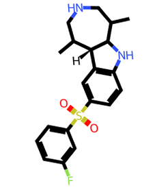 CC1CNCC(C)[C@H]2c3cc(S(=O)(=O)c4cccc(F)c4)ccc3NC12